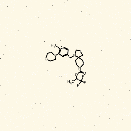 Cc1ccc(CN2CCCC23CCN(C(=O)OC(C)C(F)(F)F)CC3)cc1N1CCOCC1